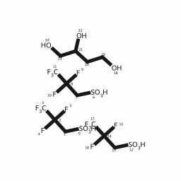 O=S(=O)(O)CC(F)(F)C(F)(F)F.O=S(=O)(O)CC(F)(F)C(F)(F)F.O=S(=O)(O)CC(F)(F)C(F)(F)F.OCCC(O)CO